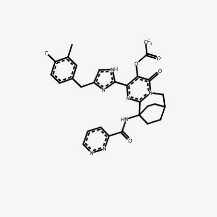 Cc1cc(Cc2c[nH]c(-c3nc4n(c(=O)c3OC(=O)C(F)(F)F)CC3CCC4(NC(=O)c4cccnn4)CC3)n2)ccc1F